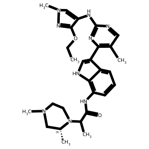 CCOc1nn(C)cc1Nc1ncc(C)c(-c2c[nH]c3c(NC(=O)C(C)N4CCN(C)C[C@H]4C)cccc23)n1